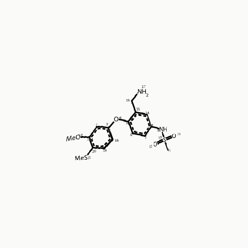 COc1cc(Oc2ccc(NS(C)(=O)=O)cc2CN)ccc1SC